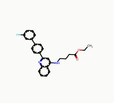 CCOC(=O)CCCNc1cc(-c2ccc(-c3cccc(F)c3)cc2)nc2ccccc12